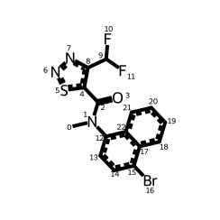 CN(C(=O)c1snnc1C(F)F)c1ccc(Br)c2ccccc12